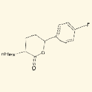 CCCCCCC1CCC(c2ccc(F)cc2)OC1=O